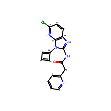 O=C(Cc1ccccn1)Nc1nc2ccc(Cl)nc2n1C1=CC=C1